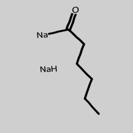 CCCCC[C](=O)[Na].[NaH]